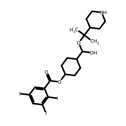 CC(C)(OC(O)C1CCC(OC(=O)c2cc(I)cc(I)c2I)CC1)C1CCNCC1